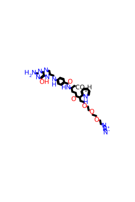 [N-]=[N+]=NCCOCCOCCOCCC(C(=O)CCC(CC(=O)O)NC(=O)c1ccc(NCc2cnc3nc(N)nc(O)c3n2)cc1)C1=CC=CC=CN1